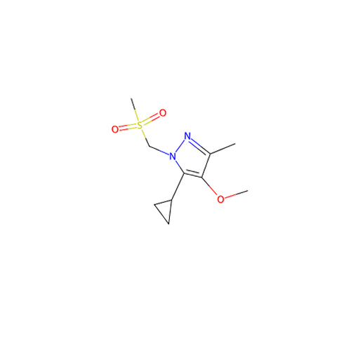 COc1c(C)nn(CS(C)(=O)=O)c1C1CC1